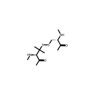 CN[C@@H](CSSC(C)(C)[C@H](NC)C(C)=O)C(C)=O